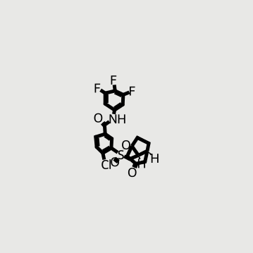 O=C1CC2CC[C@@H](C1)[C@H]2CS(=O)(=O)c1cc(C(=O)Nc2cc(F)c(F)c(F)c2)ccc1Cl